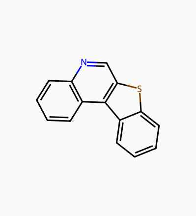 [c]1cccc2ncc3sc4ccccc4c3c12